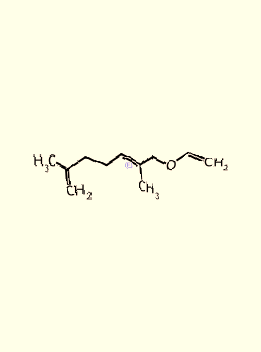 C=COC/C(C)=C/CCC(=C)C